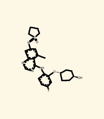 Cc1cc(N=S2(=O)CCCC2)cc2ncnc(Nc3ccc(F)cc3O[C@H]3CC[C@H](O)CC3)c12